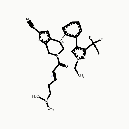 CCn1cc(-c2ccccc2[C@@H]2CN(C(=O)/C=C/CCN(C)C)Cc3sc(C#N)cc32)c(C(F)(F)F)n1